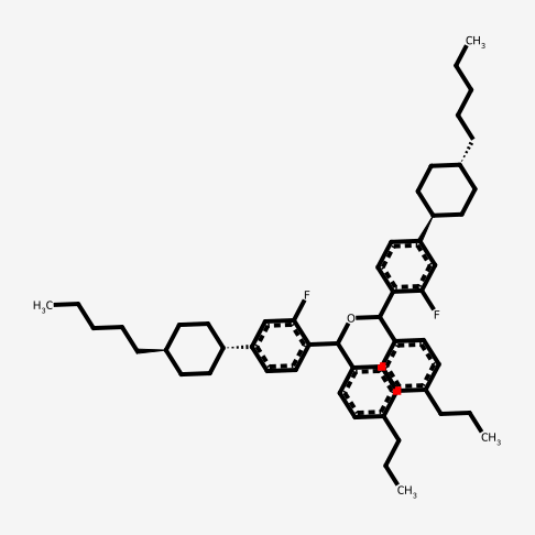 CCCCC[C@H]1CC[C@H](c2ccc(C(OC(c3ccc(CCC)cc3)c3ccc([C@H]4CC[C@H](CCCCC)CC4)cc3F)c3ccc(CCC)cc3)c(F)c2)CC1